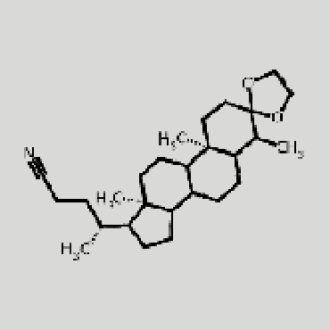 CC1C2CCC3C(CC[C@@]4(C)C3CCC4[C@H](C)CCC#N)[C@@]2(C)CCC12OCCO2